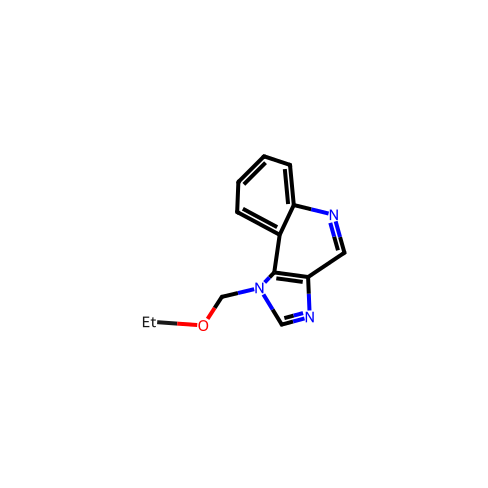 CCOCn1cnc2cnc3ccccc3c21